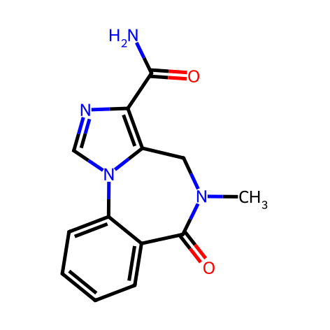 CN1Cc2c(C(N)=O)ncn2-c2ccccc2C1=O